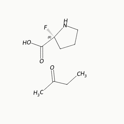 CCC(C)=O.O=C(O)[C@]1(F)CCCN1